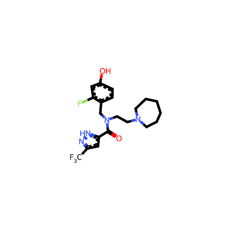 O=C(c1cc(C(F)(F)F)n[nH]1)N(CCN1CCCCCC1)Cc1ccc(O)cc1F